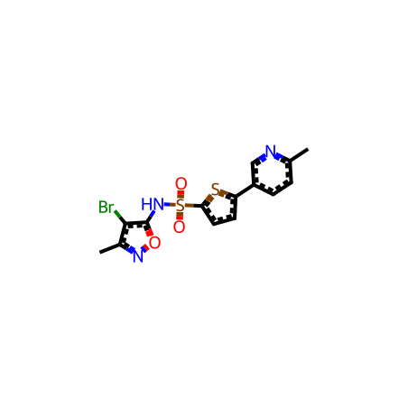 Cc1ccc(-c2ccc(S(=O)(=O)Nc3onc(C)c3Br)s2)cn1